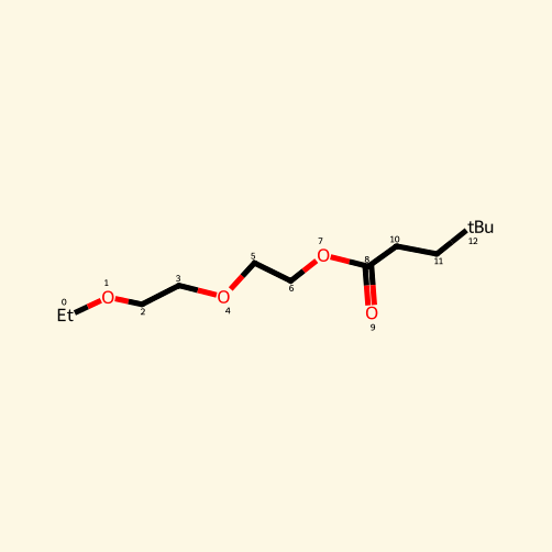 CCOCCOCCOC(=O)CCC(C)(C)C